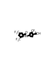 C#Cc1ccc(NC(=O)c2cc(C(F)(F)F)cc(C(F)(F)F)c2)cc1C(F)(F)F